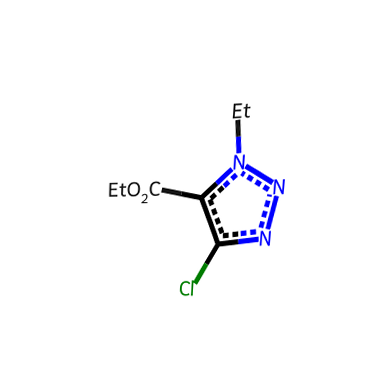 CCOC(=O)c1c(Cl)nnn1CC